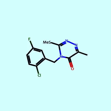 CSc1nnc(C)c(=O)n1Cc1cc(F)ccc1Cl